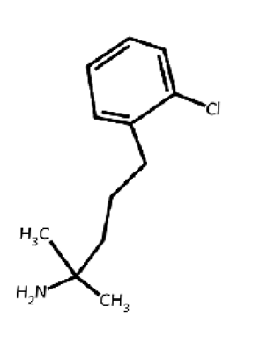 CC(C)(N)CCCc1ccccc1Cl